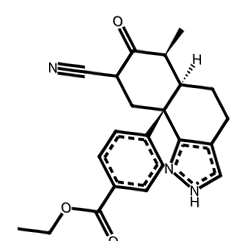 CCOC(=O)c1ccc([C@@]23CC(C#N)C(=O)[C@@H](C)[C@H]2CCc2c[nH]nc23)cc1